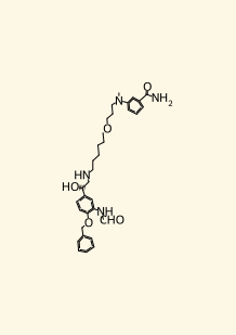 CN(CCCOCCCCCCNC[C@H](O)c1ccc(OCc2ccccc2)c(NC=O)c1)c1cccc(C(N)=O)c1